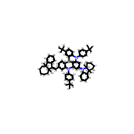 CC(C)(C)c1ccc(N2c3ccc(C(C)(C)C)cc3B3c4ccc(/C=C5\c6ccccc6C6(C)CCCCCC56C)cc4N(c4ccc(C(C)(C)C)cc4)c4cc(N5c6ccccc6C6(C)CCCCC56C)cc2c43)cc1